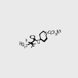 CCOC(=O)N1CCC(OC(=O)C(F)(F)S(=O)(=O)O)CC1